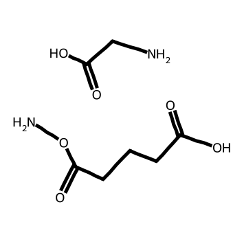 NCC(=O)O.NOC(=O)CCCC(=O)O